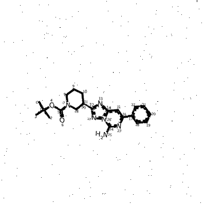 CC(C)(C)OC(=O)N1CCC[C@@H](c2nc3cc(-c4ccccc4)nc(N)n3n2)C1